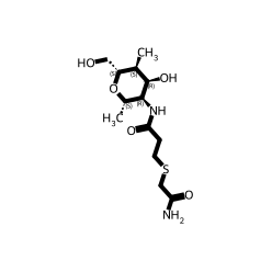 C[C@H]1[C@@H](O)[C@@H](NC(=O)CCSCC(N)=O)[C@H](C)O[C@@H]1CO